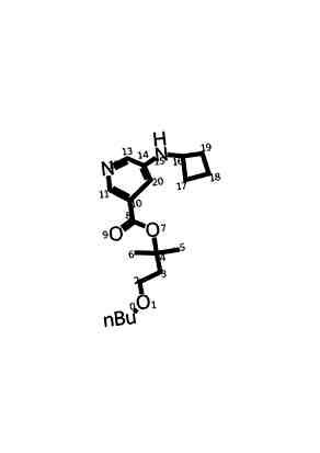 CCCCOCCC(C)(C)OC(=O)c1cncc(NC2CCC2)c1